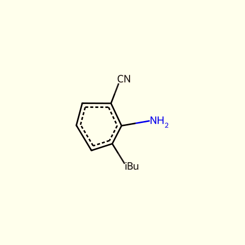 CCC(C)c1cccc(C#N)c1N